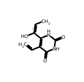 C=Cc1c(/C(O)=C\C)[nH]c(=O)[nH]c1=O